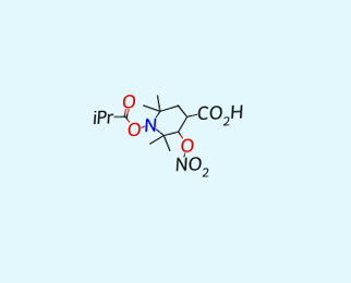 CC(C)C(=O)ON1C(C)(C)CC(C(=O)O)C(O[N+](=O)[O-])C1(C)C